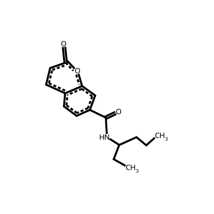 CCCC(CC)NC(=O)c1ccc2ccc(=O)oc2c1